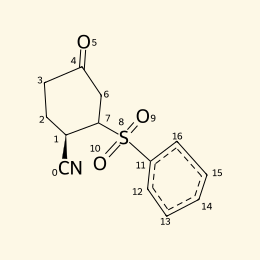 N#C[C@H]1CCC(=O)CC1S(=O)(=O)c1ccccc1